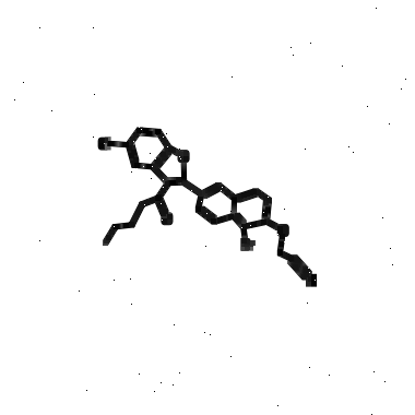 CCCCC(=O)c1c(-c2ccc3c(Br)c(OCC#N)ccc3c2)oc2ccc(Cl)cc12